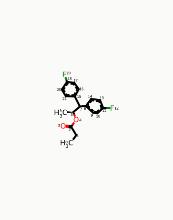 CCC(=O)O[C@@H](C)C(c1ccc(F)cc1)c1ccc(F)cc1